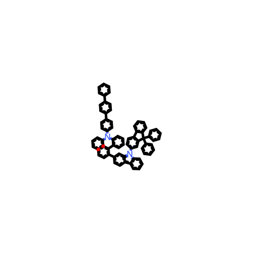 c1ccc(-c2ccc(-c3ccc(N(c4ccccc4)c4ccccc4-c4ccccc4-c4ccc5c6ccccc6n(-c6ccc7c(c6)C(c6ccccc6)(c6ccccc6)c6ccccc6-7)c5c4)cc3)cc2)cc1